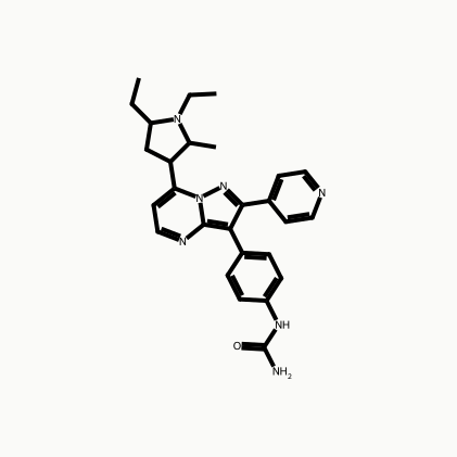 CCC1CC(c2ccnc3c(-c4ccc(NC(N)=O)cc4)c(-c4ccncc4)nn23)C(C)N1CC